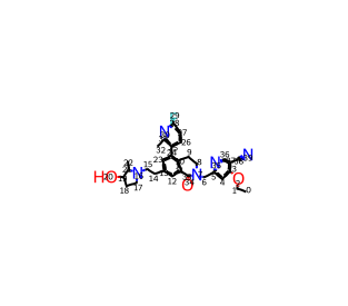 CCOc1cc(CN2CCc3c(cc(CCN4CCC(O)C4C)cc3-c3ccc(F)nc3C)C2=O)ncc1C#N